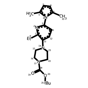 CCc1nc(-n2c(C)ccc2C)ccc1N1CCN(C(=O)OC(C)(C)C)CC1